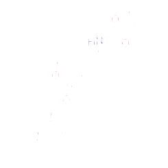 CO[C@H](CCCNC(=O)OC(C)(C)C)OCc1ccccc1